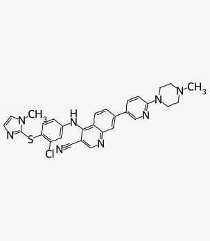 CN1CCN(c2ccc(-c3ccc4c(Nc5ccc(Sc6nccn6C)c(Cl)c5)c(C#N)cnc4c3)cn2)CC1